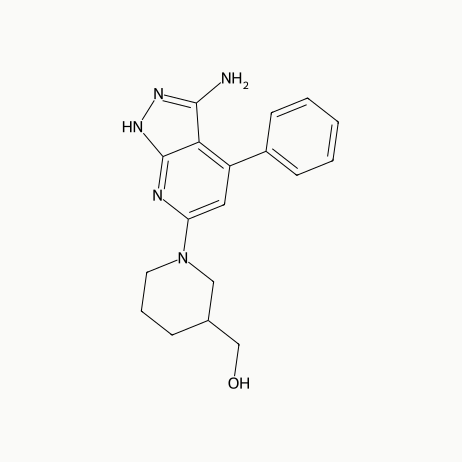 Nc1n[nH]c2nc(N3CCCC(CO)C3)cc(-c3ccccc3)c12